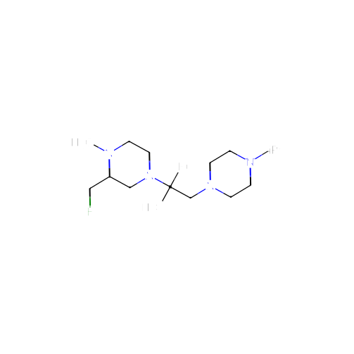 CCC(C)(CN1CCN(C(C)C)CC1)N1CCN(C)C(CF)C1